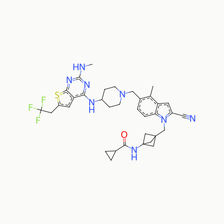 CNc1nc(NC2CCN(Cc3ccc4c(cc(C#N)n4CC45CC(NC(=O)C6CC6)(C4)C5)c3C)CC2)c2cc(CC(F)(F)F)sc2n1